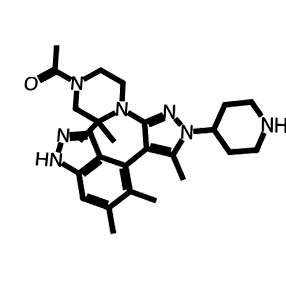 CC(=O)N1CCN(c2nn(C3CCNCC3)c(C)c2-c2c(C)c(C)cc3[nH]ncc23)C(C)(C)C1